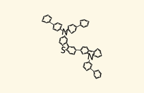 c1ccc(-c2ccc(N(c3ccc(-c4ccccc4)cc3)c3ccc4sc5ccc(-c6ccc7c8ccccc8n(-c8cccc(-c9ccccc9)c8)c7c6)cc5c4c3)cc2)cc1